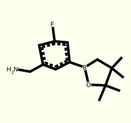 CC1(C)CB(c2cc(F)cc(CN)c2)OC1(C)C